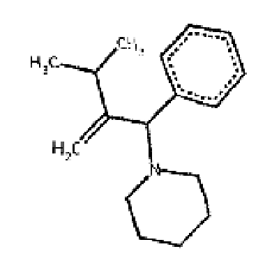 C=C(C(C)C)C(c1ccccc1)N1CCCCC1